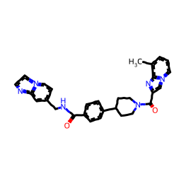 Cc1cccn2cc(C(=O)N3CCC(c4ccc(C(=O)NCc5ccn6ccnc6c5)cc4)CC3)nc12